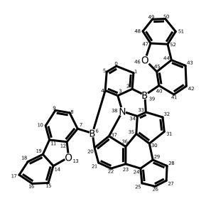 c1cc2c3c(c1)B(c1cccc4c1oc1ccccc14)c1ccc4c5ccccc5c5ccc(c6c5c4c1n6-3)B2c1cccc2c1oc1ccccc12